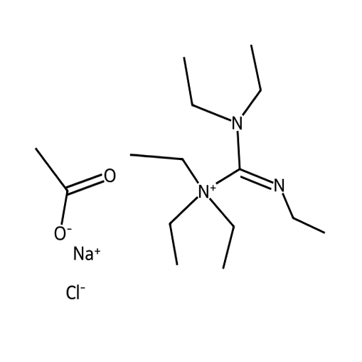 CC(=O)[O-].CCN=C(N(CC)CC)[N+](CC)(CC)CC.[Cl-].[Na+]